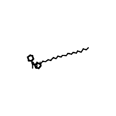 CCCCCCCCCCCCCCCCCCCc1ccc[n+](Cc2ccccc2)c1